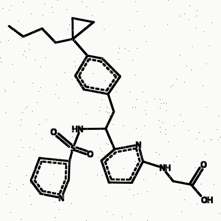 CCCCC1(c2ccc(CC(NS(=O)(=O)c3cccnc3)c3cccc(NCC(=O)O)n3)cc2)CC1